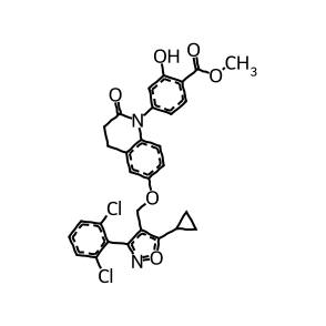 COC(=O)c1ccc(N2C(=O)CCc3cc(OCc4c(-c5c(Cl)cccc5Cl)noc4C4CC4)ccc32)cc1O